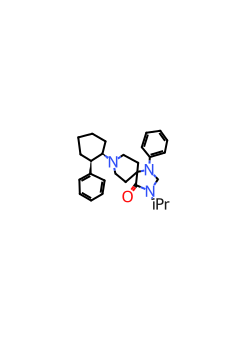 CC(C)N1CN(c2ccccc2)C2(CCN([C@@H]3CCCC[C@@H]3c3ccccc3)CC2)C1=O